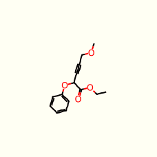 CCOC(=O)C(C#CCOC)Oc1ccccc1